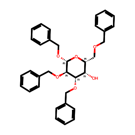 O[C@@H]1[C@H](OCc2ccccc2)[C@@H](OCc2ccccc2)[C@H](OCc2ccccc2)O[C@@H]1COCc1ccccc1